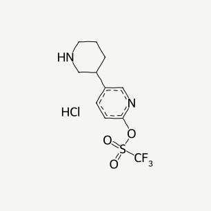 Cl.O=S(=O)(Oc1ccc(C2CCCNC2)cn1)C(F)(F)F